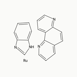 [Ru].c1ccc2[nH]cnc2c1.c1cnc2c(c1)ccc1ncccc12